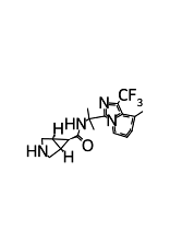 Cc1cccn2c(C(C)(C)NC(=O)[C@H]3[C@@H]4CNC[C@@H]43)nc(C(F)(F)F)c12